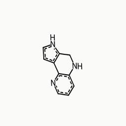 c1cnc2c(c1)NCc1[nH]ccc1-2